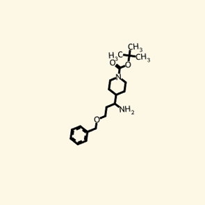 CC(C)(C)OC(=O)N1CCC(C(N)CCOCc2ccccc2)CC1